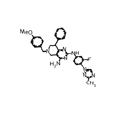 COc1ccc(CN2Cc3c(N)nc(Nc4ccc(-n5cnc(C)n5)c(F)c4)nc3C(c3ccccc3)C2)cc1